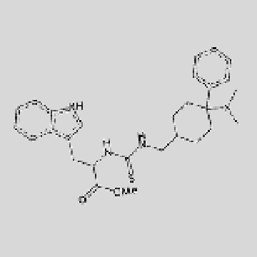 COC(=O)C(Cc1c[nH]c2ccccc12)NC(=S)NCC1CCC(c2ccccc2)(N(C)C)CC1